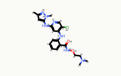 Cc1cc(Nc2cc(Nc3ccccc3C(=O)NOCCN(C)C)c(Cl)cn2)n(C)n1